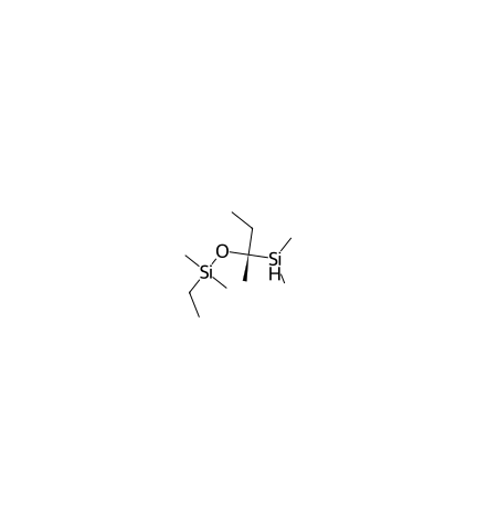 CC[C@@](C)(O[Si](C)(C)CC)[SiH](C)C